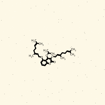 CC(C)=CCC/C(C)=C/COc1c(OC(C)C)c2c(OC/C=C(\C)CCC=C(C)C)cccc2oc1=O